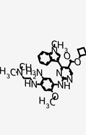 COc1cc(NCCN(C)C)c(N)cc1Nc1ncc(C(=O)OC2CCC2)c(-c2cn(C)c3ccccc23)n1